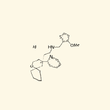 COc1ccsc1CNCC[C@@]1(c2ccccn2)CCOC2(CCCC2)C1.I